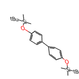 CC(C)(C)[Si](C)(C)Oc1ccc(-c2ccc(O[Si](C)(C)C(C)(C)C)cc2)cc1